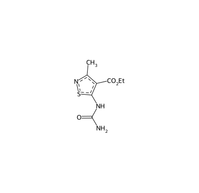 CCOC(=O)c1c(C)nsc1NC(N)=O